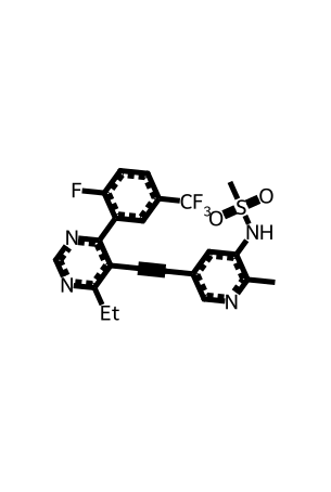 CCc1ncnc(-c2cc(C(F)(F)F)ccc2F)c1C#Cc1cnc(C)c(NS(C)(=O)=O)c1